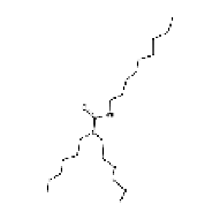 CCCCCCCCCNC(=O)N(CCCCCC)CCCCCC